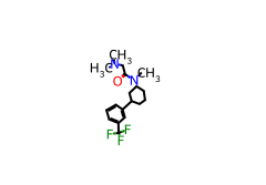 CN(C)CC(=O)N(C)C1CCCC(c2cccc(C(F)(F)F)c2)C1